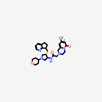 O=C(CN1CCn2c(cc(C(F)(F)F)cc2=O)C1)NC1CN(C2CCOCC2)C[C@@H]1CC1CCc2cccnc21